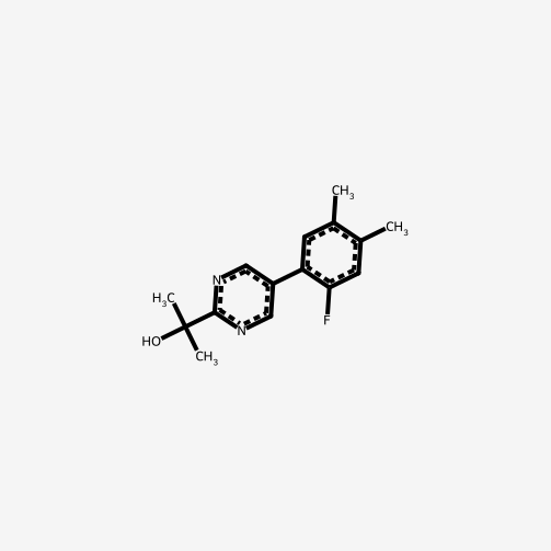 Cc1cc(F)c(-c2cnc(C(C)(C)O)nc2)cc1C